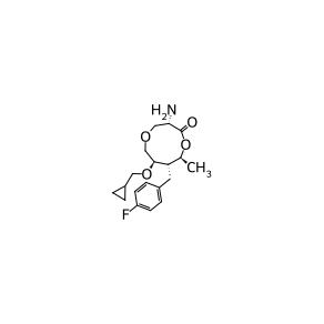 C[C@@H]1OC(=O)[C@@H](N)COC[C@H](OCC2CC2)[C@H]1Cc1ccc(F)cc1